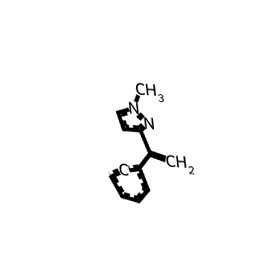 C=C(c1ccccc1)c1ccn(C)n1